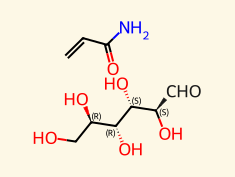 C=CC(N)=O.O=C[C@@H](O)[C@@H](O)[C@H](O)[C@H](O)CO